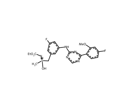 CCOC(=O)N=[SH](C)(O)Cc1cc(F)cc(Nc2ncnc(-c3ccc(F)cc3OC)n2)c1